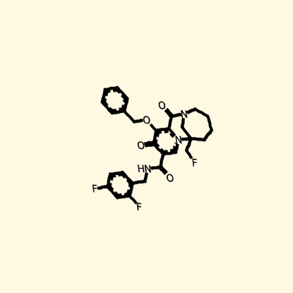 O=C(NCc1ccc(F)cc1F)c1cn2c(c(OCc3ccccc3)c1=O)C(=O)N1CCCCC2(CF)C1